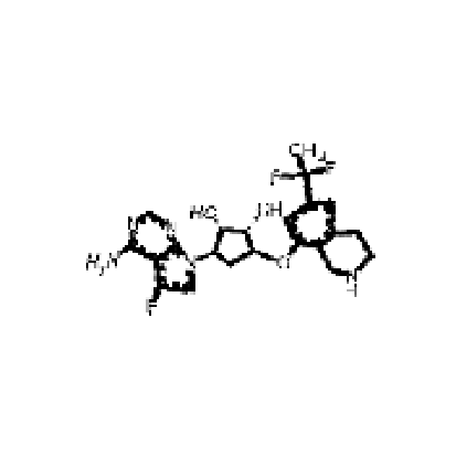 CC(F)(F)c1cc2c(c(OC3C[C@@H](n4cc(F)c5c(N)ncnc54)[C@H](O)[C@@H]3O)c1)CNCC2